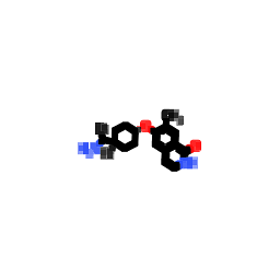 CCC(N)[C@]1(CC)CC[C@H](Oc2cc3cc[nH]c(=O)c3cc2C)CC1